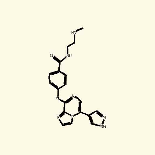 CNCCNC(=O)c1ccc(Nc2ncc(-c3cn[nH]c3)n3ccnc23)cc1